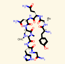 CC[C@H](C)[C@H](NC(=O)[C@@H](N)Cc1ccc(O)cc1)C(=O)N[C@@H](CCC(N)=O)C(=O)N[C@@H](CC(N)=O)C(=O)N[C@@H](CNC=O)C(=O)N(C)CC(=O)N[C@@H](Cc1c[nH]cn1)C(=O)NCC(N)=O